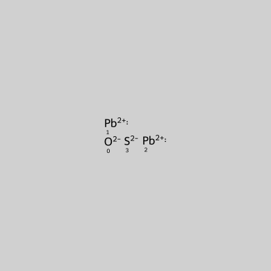 [O-2].[Pb+2].[Pb+2].[S-2]